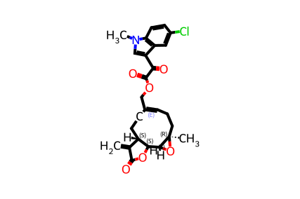 C=C1C(=O)O[C@H]2[C@H]1CC/C(COC(=O)C(=O)c1cn(C)c3ccc(Cl)cc13)=C\CC[C@@]1(C)O[C@@H]21